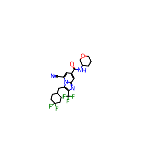 N#Cc1cc(C(=O)NC2CCCOC2)cc2nc(C(F)(F)F)c(CC3CCC(F)(F)CC3)n12